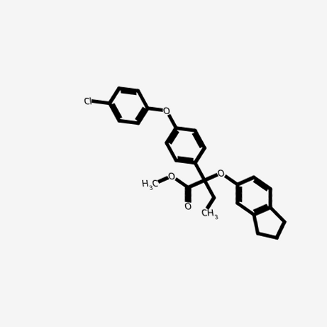 CCC(Oc1ccc2c(c1)CCC2)(C(=O)OC)c1ccc(Oc2ccc(Cl)cc2)cc1